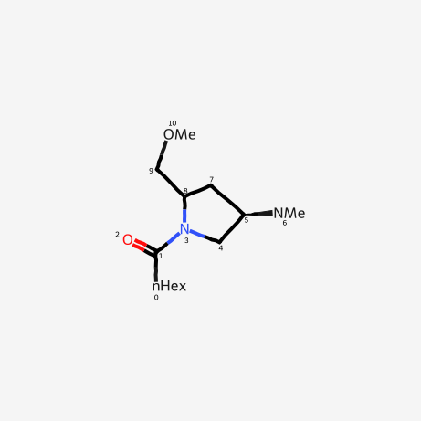 CCCCCCC(=O)N1C[C@H](NC)CC1COC